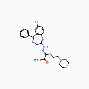 COC(=O)/C(CCCN1CCOCC1)=N/NC1=Nc2ccc(Cl)cc2C(c2ccccc2)=NC1